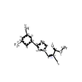 CC(C)OC(=O)/C(I)=C\n1cnc(-c2cc(S)cc(C(F)(F)F)c2)n1